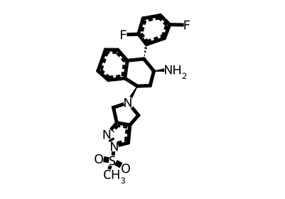 CS(=O)(=O)n1cc2c(n1)CN([C@@H]1C[C@H](N)[C@@H](c3cc(F)ccc3F)c3ccccc31)C2